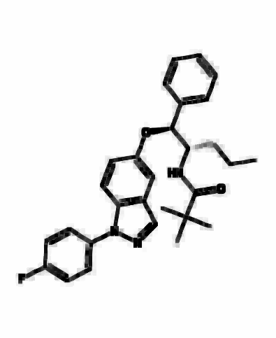 CCC[C@H](NC(=O)C(C)(C)C)[C@@H](Oc1ccc2c(cnn2-c2ccc(F)cc2)c1)c1ccccc1